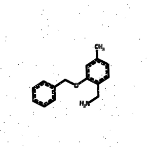 Cc1ccc(CN)c(OCc2ccccc2)c1